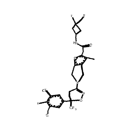 Cc1c(C(=O)NC2CC(F)(F)C2)sc2c1CN(C1=NOC(c3cc(Cl)c(F)c(Cl)c3)(C(F)(F)F)C1)C2